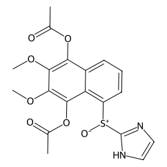 COc1c(OC)c(OC(C)=O)c2c([S+]([O-])c3ncc[nH]3)cccc2c1OC(C)=O